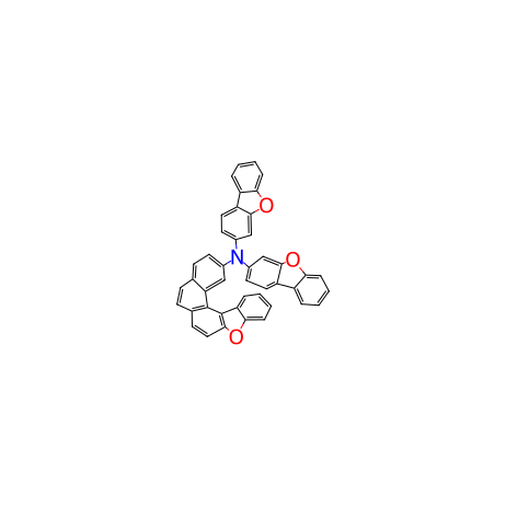 c1ccc2c(c1)oc1cc(N(c3ccc4c(c3)oc3ccccc34)c3ccc4ccc5ccc6oc7ccccc7c6c5c4c3)ccc12